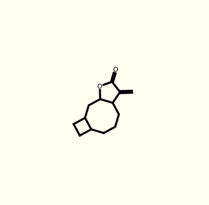 C=C1C(=O)OC2CC3CCC3CCCC12